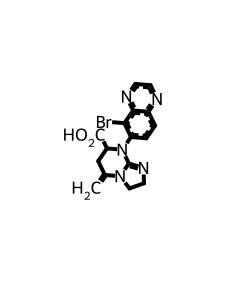 C=C1CC(C(=O)O)N(c2ccc3nccnc3c2Br)C2=NCCN12